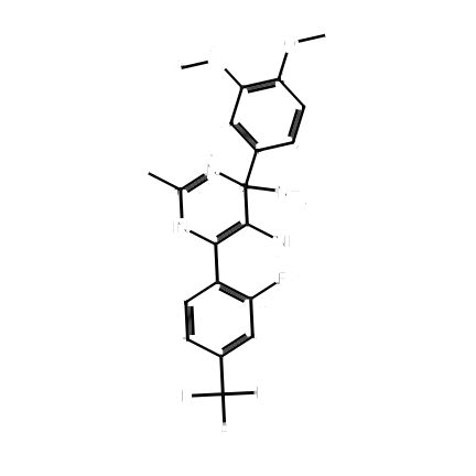 COc1ccc(C2(N)N=C(C)NC(c3ccc(C(F)(F)F)cc3F)=C2N)cc1OC